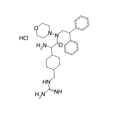 Cl.N=C(N)NCC1CCC(C(N)C(=O)N(CC(c2ccccc2)c2ccccc2)N2CCOCC2)CC1